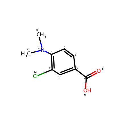 CN(C)c1ccc(C(=O)O)cc1Cl